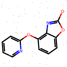 [O]c1nc2c(Oc3ccccn3)cccc2o1